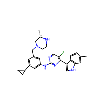 Cc1ccc2c(-c3nc(Nc4cc(CN5CCN[C@@H](C)C5)cc(C5CC5)c4)ncc3F)c[nH]c2c1